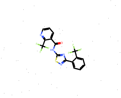 O=C(Nc1nc(-c2ccccc2C(F)(F)F)ns1)c1cccnc1C(F)(F)F